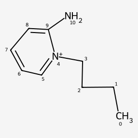 CCCC[n+]1ccccc1N